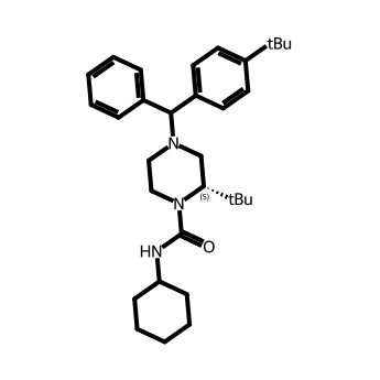 CC(C)(C)c1ccc(C(c2ccccc2)N2CCN(C(=O)NC3CCCCC3)[C@@H](C(C)(C)C)C2)cc1